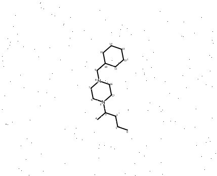 CCCC(C)N1CCN(CC2CCCCC2)CC1